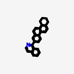 c1ccc2c(-c3ccc4c(ccc5c6c(ccc54)CCCC6)c3)nccc2c1